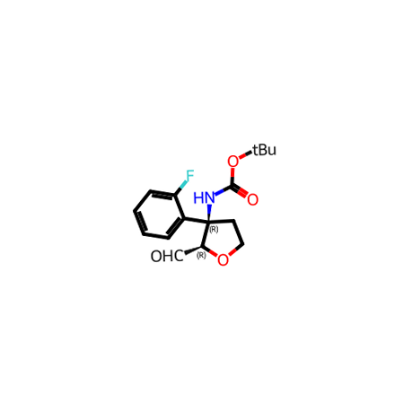 CC(C)(C)OC(=O)N[C@@]1(c2ccccc2F)CCO[C@H]1C=O